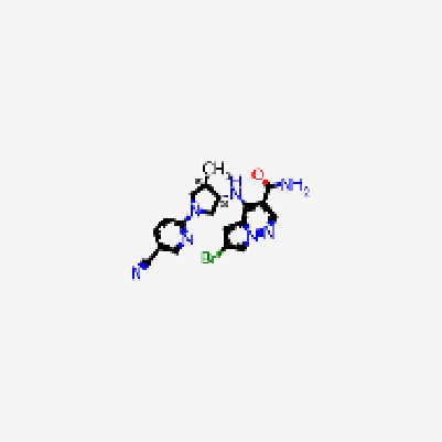 C[C@@H]1CN(c2ccc(C#N)cn2)C[C@H]1Nc1c(C(N)=O)cnn2cc(Br)cc12